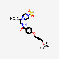 CC(C)(C)[Si](C)(C)OCC#CCOc1ccc(C(=O)NC[C@@H](C(=O)O)N2CCN(S(C)(=O)=O)CC2)cc1